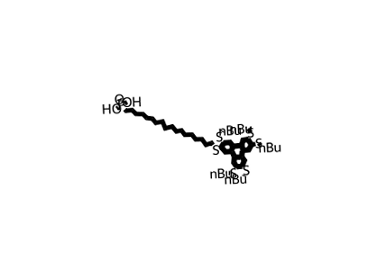 CCCCSc1cc2c3cc(SCCCC)c(SCCCC)cc3c3cc(SCCCCCCCCCCCCCCCCCCP(=O)(O)O)c(SCCCC)cc3c2cc1SCCCC